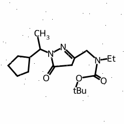 CCN(CC1=NN(C(C)C2CCCC2)C(=O)C1)C(=O)OC(C)(C)C